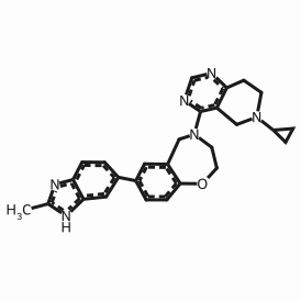 Cc1nc2ccc(-c3ccc4c(c3)CN(c3ncnc5c3CN(C3CC3)CC5)CCO4)cc2[nH]1